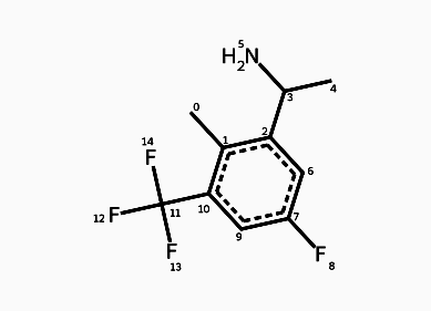 Cc1c(C(C)N)cc(F)cc1C(F)(F)F